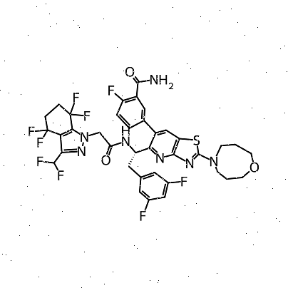 NC(=O)c1cc(-c2cc3sc(N4CCCOCCC4)nc3nc2[C@H](Cc2cc(F)cc(F)c2)NC(=O)Cn2nc(C(F)F)c3c2C(F)(F)CCC3(F)F)ccc1F